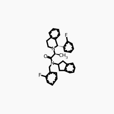 C[C@@H](C(=O)N(Cc1ccccc1F)C1Cc2ccccc2C1)N1CCc2ccccc2[C@@H]1c1ccccc1F